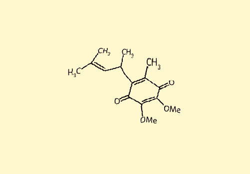 COC1=C(OC)C(=O)C(C(C)C=C(C)C)=C(C)C1=O